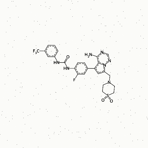 Nc1ncnn2c(CN3CCS(=O)(=O)CC3)cc(-c3ccc(NC(=O)Nc4cccc(C(F)(F)F)c4)c(F)c3)c12